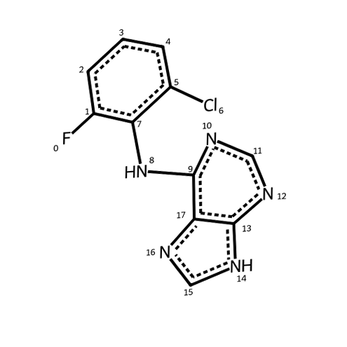 Fc1cccc(Cl)c1Nc1ncnc2[nH]cnc12